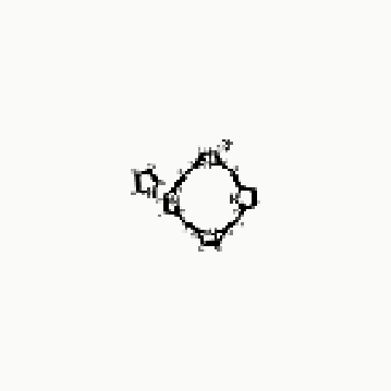 C1=Cc2cc3ccc(cc4nc(cc5ccc(cc1n2)[nH]5)C=C4)[nH]3.[Rh].c1cc[nH]c1